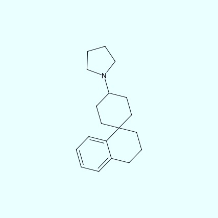 c1ccc2c(c1)CCCC21CCC(N2CCCC2)CC1